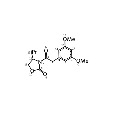 COc1cc(CC(=O)N2C(=O)OCC2C(C)C)cc(OC)c1